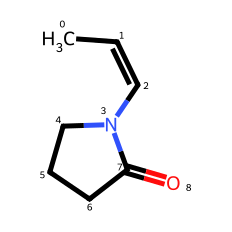 C/C=C\N1CCCC1=O